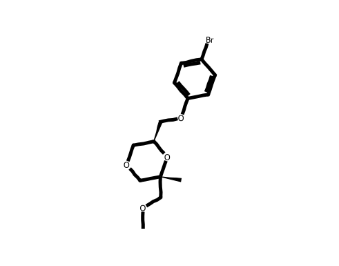 COC[C@]1(C)COC[C@@H](COc2ccc(Br)cc2)O1